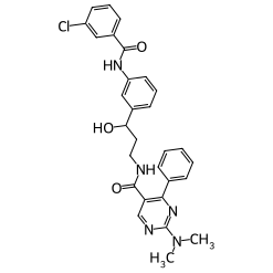 CN(C)c1ncc(C(=O)NCCC(O)c2cccc(NC(=O)c3cccc(Cl)c3)c2)c(-c2ccccc2)n1